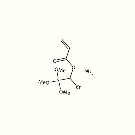 C=CC(=O)OC(CC)[Si](OC)(OC)OC.[SiH4]